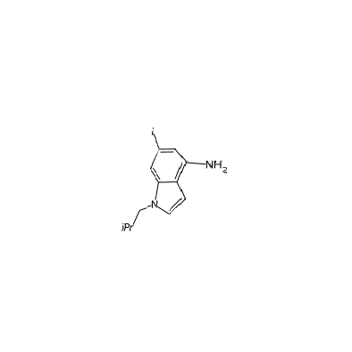 CC(C)Cn1ccc2c(N)cc(I)cc21